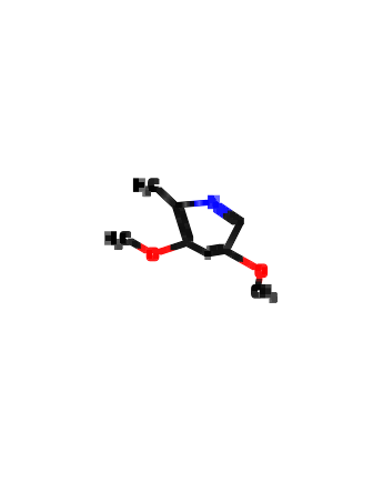 COc1[c]c(OC)c(C)nc1